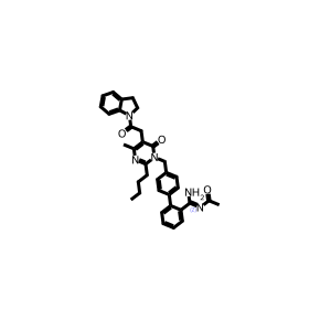 CCCCc1nc(C)c(CC(=O)N2CCc3ccccc32)c(=O)n1Cc1ccc(-c2ccccc2/C(N)=N/C(C)=O)cc1